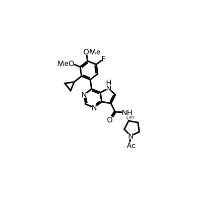 COc1c(F)cc(-c2ncnc3c(C(=O)N[C@@H]4CCN(C(C)=O)C4)c[nH]c23)c(C2CC2)c1OC